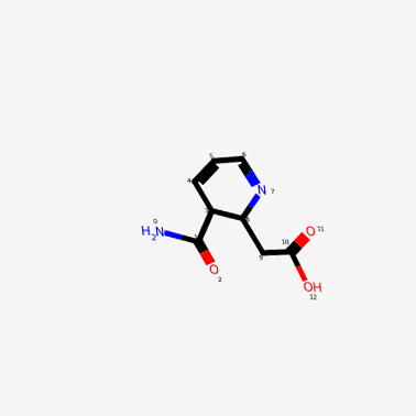 NC(=O)C1C=CC=NC1CC(=O)O